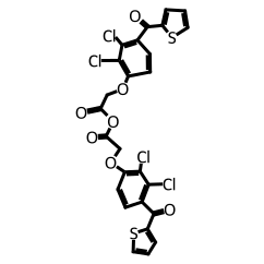 O=C(COc1ccc(C(=O)c2cccs2)c(Cl)c1Cl)OC(=O)COc1ccc(C(=O)c2cccs2)c(Cl)c1Cl